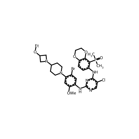 CCOC1CN(C2CCN(c3cc(OC)c(Nc4ncc(Cl)c(Nc5ccc6c(c5P(C)(C)=O)OCCO6)n4)cc3Br)CC2)C1